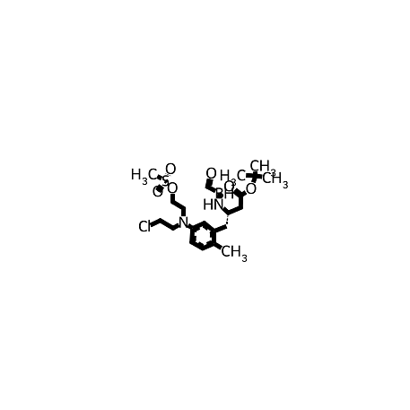 Cc1ccc(N(CCCl)CCOS(C)(=O)=O)cc1C[C@@H](CC(=O)OC(C)(C)C)NBC=O